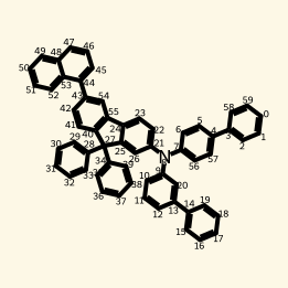 c1ccc(-c2ccc(N(c3cccc(-c4ccccc4)c3)c3ccc4c(c3)C(c3ccccc3)(c3ccccc3)c3ccc(-c5cccc6ccccc56)cc3-4)cc2)cc1